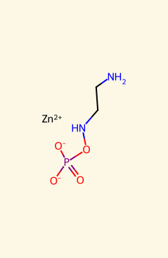 NCCNOP(=O)([O-])[O-].[Zn+2]